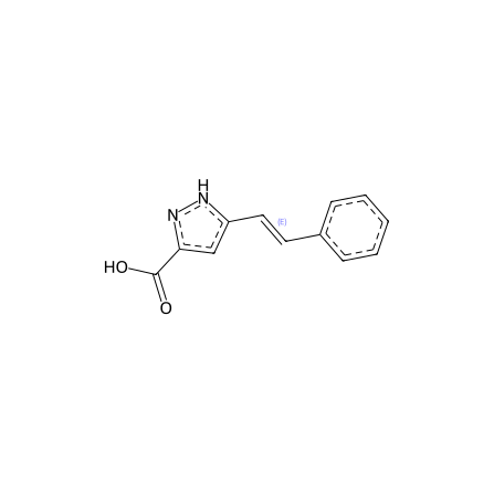 O=C(O)c1cc(/C=C/c2ccccc2)[nH]n1